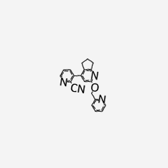 N#Cc1ncccc1-c1cc(OCc2ccccn2)nc2c1CCC2